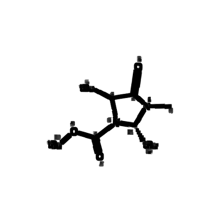 CN1C(=O)C(C(C)(C)C)N(C(=O)OC(C)(C)C)[C@H]1C(C)(C)C